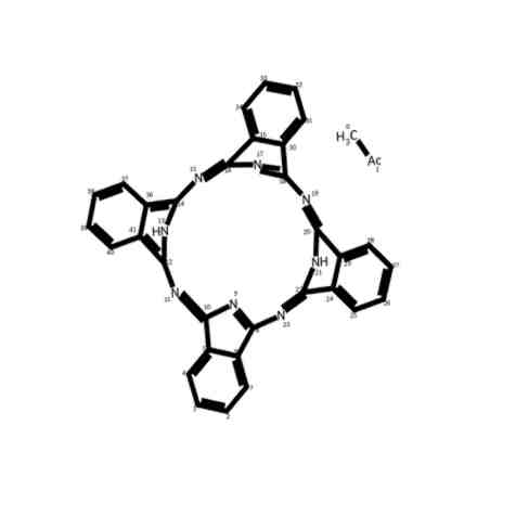 CC(C)=O.c1ccc2c(c1)-c1nc-2nc2[nH]c(nc3nc(nc4[nH]c(n1)c1ccccc41)-c1ccccc1-3)c1ccccc21